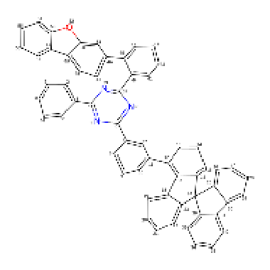 c1ccc(-c2nc(-c3cccc(-c4cccc5c4-c4ccccc4C54c5ccccc5-c5ccccc54)c3)nc(-c3ccccc3-c3ccc4c(c3)oc3ccccc34)n2)cc1